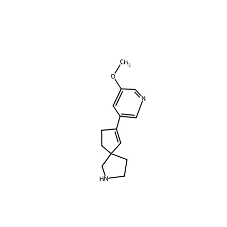 COc1cncc(C2=CC3(CCNC3)CC2)c1